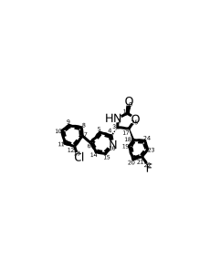 O=C1N[C@@H](c2cc(-c3ccccc3Cl)ccn2)[C@H](c2ccc(F)cc2)O1